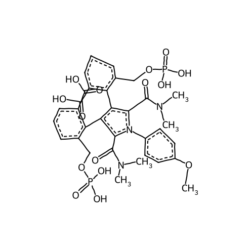 COc1ccc(-n2c(C(=O)N(C)C)c(-c3c(COP(=O)(O)O)cccc3C(=O)O)c(-c3c(COP(=O)(O)O)cccc3C(=O)O)c2C(=O)N(C)C)cc1